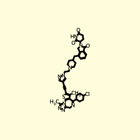 Cc1c(C#Cc2cnn(CCN3CCC(Cc4cccc5c4CN(C4CCC(=O)NC4=O)C5=O)CC3)c2)sc2c1C(C1CCC(Cl)CC1)=NCc1nnc(C)n1-2